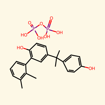 Cc1cccc(-c2cc(C(C)(C)c3ccc(O)cc3)ccc2O)c1C.O=P(O)(O)OP(=O)(O)O